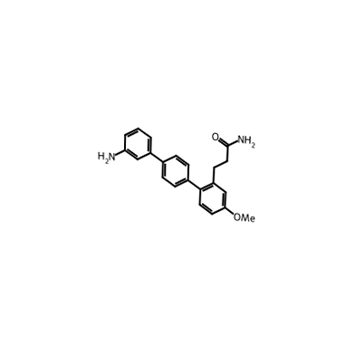 COc1ccc(-c2ccc(-c3cccc(N)c3)cc2)c(CCC(N)=O)c1